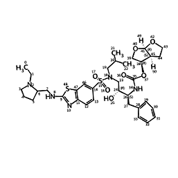 CCN1CCCC1CNc1nc2ccc(S(=O)(=O)N(CC(C)C)C[C@@H](O)[C@H](Cc3ccccc3)NC(=O)O[C@H]3CO[C@H]4OCC[C@H]43)cc2s1